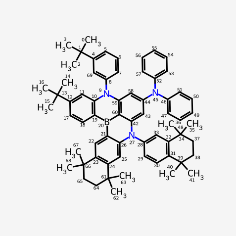 CC(C)(C)c1cccc(N2c3cc(C(C)(C)C)ccc3B3c4cc5c(cc4N(c4ccc6c(c4)C(C)(C)CCC6(C)C)c4cc(N(c6ccccc6)c6ccccc6)cc2c43)C(C)(C)CCC5(C)C)c1